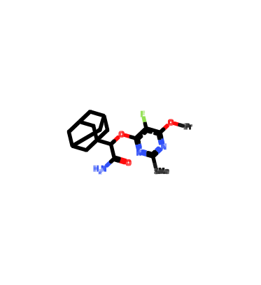 CSc1nc(OC(C)C)c(F)c(OC(C(N)=O)C23CC4CC(CC(C4)C2)C3)n1